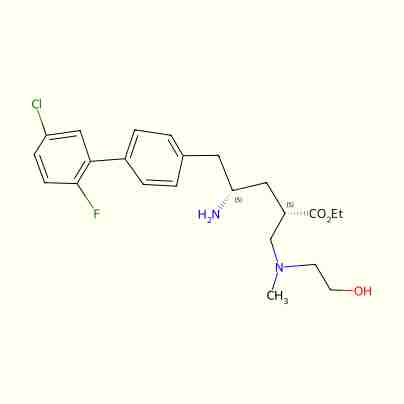 CCOC(=O)[C@@H](C[C@H](N)Cc1ccc(-c2cc(Cl)ccc2F)cc1)CN(C)CCO